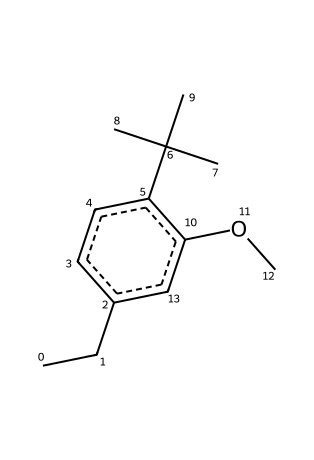 CCc1ccc(C(C)(C)C)c(OC)c1